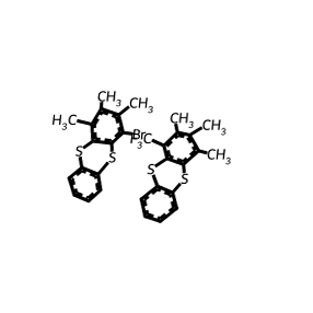 Cc1c(C)c(Br)c2c(c1C)Sc1ccccc1S2.Cc1c(C)c2c(c(C(F)(F)F)c1C)Sc1ccccc1S2